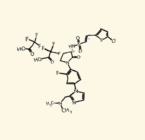 CN(C)Cc1nccn1-c1ccc(N2CC[C@H](NS(=O)(=O)/C=C/c3ccc(Cl)s3)C2=O)c(F)c1.O=C(O)C(F)(F)F.O=C(O)C(F)(F)F